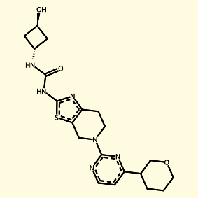 O=C(Nc1nc2c(s1)CN(c1nccc(C3CCCOC3)n1)CC2)N[C@H]1C[C@H](O)C1